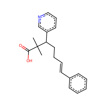 CC(C)(C(=O)O)C(CCC=Cc1ccccc1)c1cccnc1